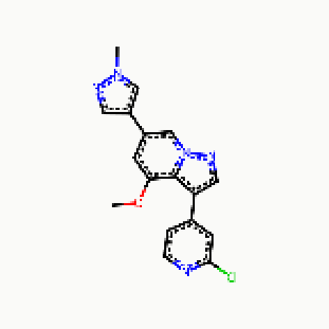 COc1cc(-c2cnn(C)c2)cn2ncc(-c3ccnc(Cl)c3)c12